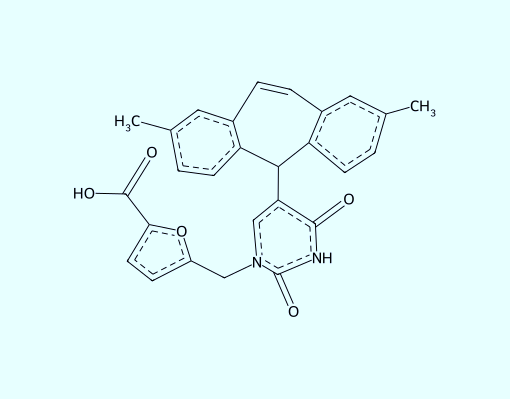 Cc1ccc2c(c1)C=Cc1cc(C)ccc1C2c1cn(Cc2ccc(C(=O)O)o2)c(=O)[nH]c1=O